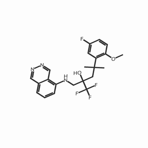 COc1ccc(F)cc1C(C)(C)CC(O)(CNc1cccc2cnncc12)C(F)(F)F